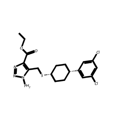 CCOC(=O)c1nnn(P)c1CS[C@H]1CC[C@@H](c2cc(Cl)cc(Cl)c2)CC1